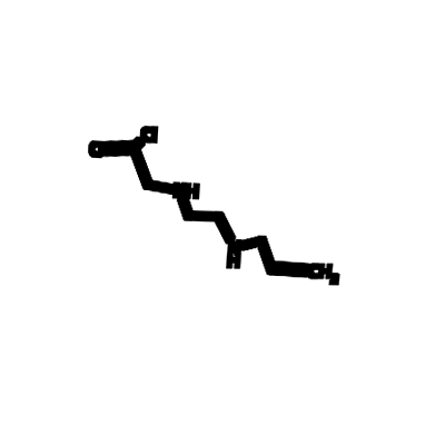 C=CCNCCNCC(=O)Cl